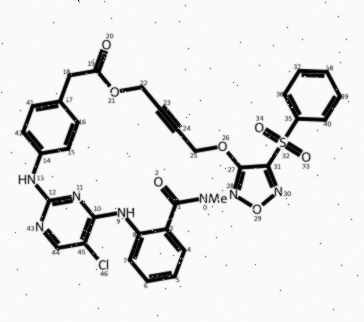 CNC(=O)c1ccccc1Nc1nc(Nc2ccc(CC(=O)OCC#CCOc3nonc3S(=O)(=O)c3ccccc3)cc2)ncc1Cl